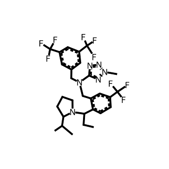 CCC(c1ccc(C(F)(F)F)cc1CN(Cc1cc(C(F)(F)F)cc(C(F)(F)F)c1)c1nnn(C)n1)N1CCCC1C(C)C